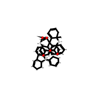 CC12CC=CC=C1C1(c3c(cccc3-c3cccc4c3N(C3=CC=CCC3)C3CCC=CC43)S2)C2C=CCCC2SC2C=CC=C(C3C=CC=CC3)C21